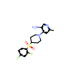 Cc1cc(N2CCC(S(=O)(=O)c3ccc(F)cc3F)CC2)c(N)cn1